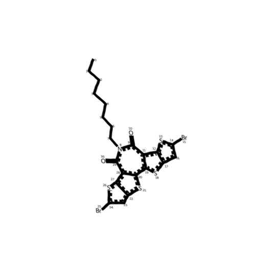 CCCCCCCCn1c(=O)c2c3sc(Br)cc3sc2c2sc3cc(Br)sc3c2c1=O